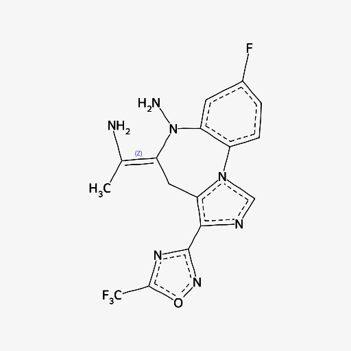 C/C(N)=C1\Cc2c(-c3noc(C(F)(F)F)n3)ncn2-c2ccc(F)cc2N1N